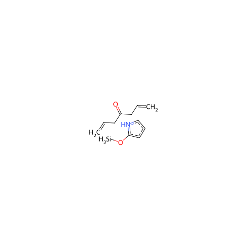 C=CCC(=O)CC=C.[SiH3]Oc1ccc[nH]1